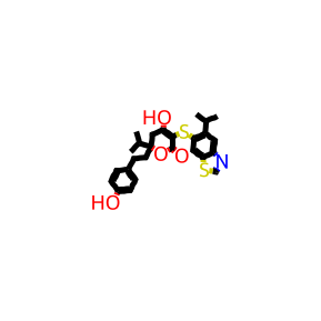 CC(C)c1cc2ncsc2cc1SC1=C(O)CC(CCc2ccc(O)cc2)(C(C)C)OC1=O